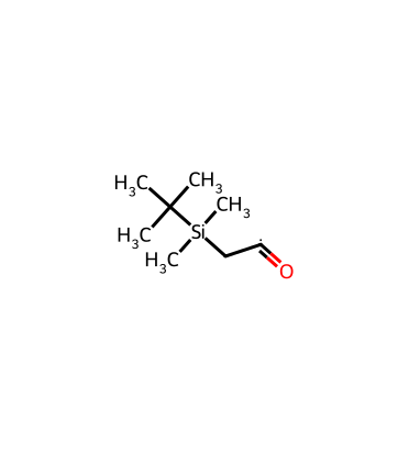 CC(C)(C)[Si](C)(C)C[C]=O